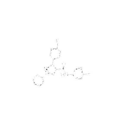 Cc1ccc(NC(=O)c2cn(-c3ccccc3)nc2-c2ccc(F)cc2)cc1